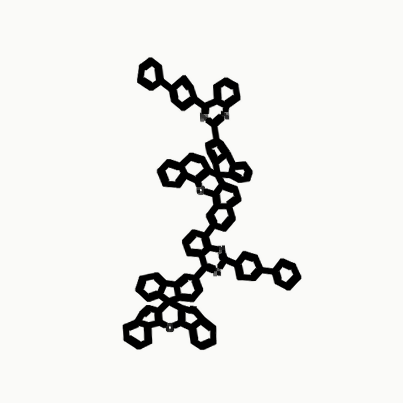 c1ccc(-c2ccc(-c3nc(-c4ccc5c(c4)-c4ccccc4C54c5ccc6ccccc6c5Oc5c4ccc4ccccc54)c4cccc(-c5ccc6ccc7c(c6c5)Oc5c(ccc6ccccc56)C75c6ccccc6-c6cc(-c7nc(-c8ccc(-c9ccccc9)cc8)c8ccccc8n7)ccc65)c4n3)cc2)cc1